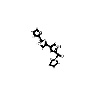 O=C(c1cc(-c2coc(-c3ccco3)n2)c[nH]1)N1CCCC1